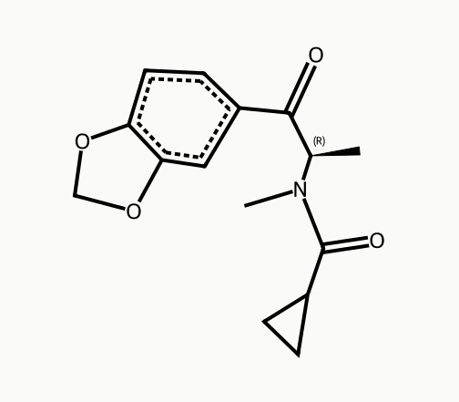 C[C@H](C(=O)c1ccc2c(c1)OCO2)N(C)C(=O)C1CC1